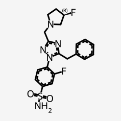 NS(=O)(=O)c1ccc(-n2nc(CN3CC[C@@H](F)C3)nc2Cc2ccccc2)c(F)c1